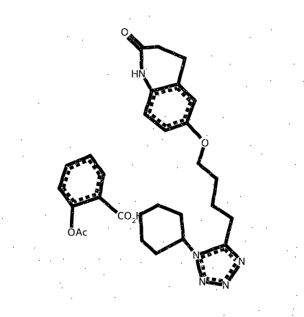 CC(=O)Oc1ccccc1C(=O)O.O=C1CCc2cc(OCCCCc3nnnn3C3CCCCC3)ccc2N1